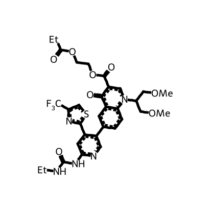 CCNC(=O)Nc1cc(-c2nc(C(F)(F)F)cs2)c(-c2ccc3c(c2)c(=O)c(C(=O)OCCOC(=O)CC)cn3C(COC)COC)cn1